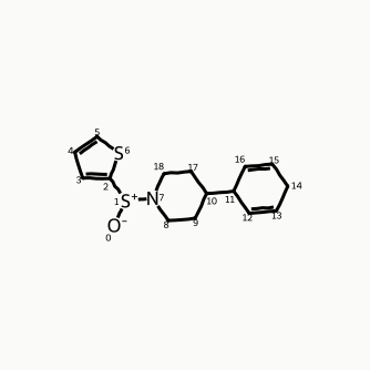 [O-][S+](c1cccs1)N1CCC(C2C=CCC=C2)CC1